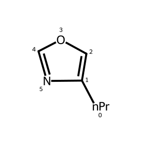 [CH2]CCc1cocn1